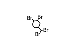 BrC(Br)C1CCC(Br)C(Br)C1